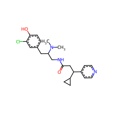 CN(C)C(CNC(=O)CC(c1ccncc1)C1CC1)Cc1ccc(O)c(Cl)c1